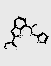 CN(Sc1cccs1)c1cccc2cc(C(=O)CCl)[nH]c12